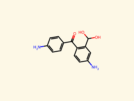 Nc1ccc(C(=O)c2ccc(N)cc2C(O)O)cc1